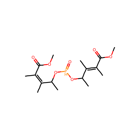 COC(=O)C(C)=C(C)C(C)O[PH](=O)OC(C)C(C)=C(C)C(=O)OC